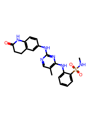 CNS(=O)(=O)c1ccccc1Nc1nc(Nc2ccc3c(c2)CCC(=O)N3)ncc1C